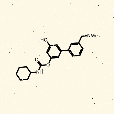 CNCc1cccc(-c2cc(O)cc(OC(=O)NC3CCCCC3)c2)c1